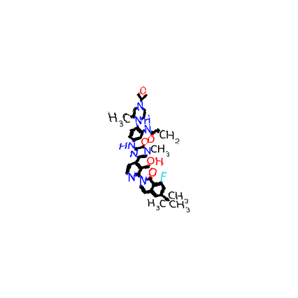 C=CC(=O)Nc1cc(Nc2nc(-c3ccnc(-n4ccc5cc(C(C)(C)C)cc(F)c5c4=O)c3CO)cn(C)c2=O)ccc1N1CCN(C2COC2)CC1C